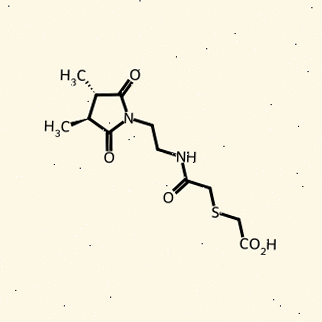 C[C@@H]1C(=O)N(CCNC(=O)CSCC(=O)O)C(=O)[C@H]1C